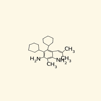 CC(C)=Cc1c(N)c(C)c(N)c(C2CCCCC2)c1C1CCCCC1